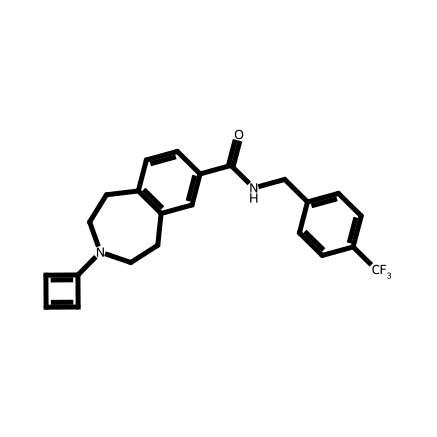 O=C(NCc1ccc(C(F)(F)F)cc1)c1ccc2c(c1)CCN(C1=CC=C1)CC2